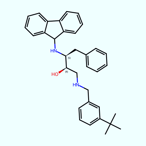 CC(C)(C)c1cccc(CNC[C@@H](O)[C@H](Cc2ccccc2)NC2c3ccccc3-c3ccccc32)c1